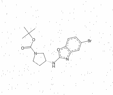 CC(C)(C)OC(=O)N1CC[C@@H](Nc2nc3cc(Br)ccc3o2)C1